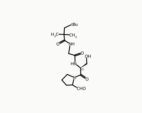 CC(C)(C)CC(C)(C)C(=O)NCC(=O)N[C@@H](CO)C(=O)N1CCCC1C=O